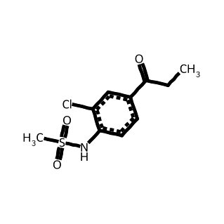 CCC(=O)c1ccc(NS(C)(=O)=O)c(Cl)c1